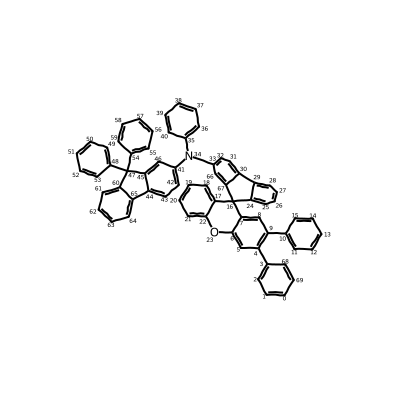 c1ccc(-c2cc3c(cc2-c2ccccc2)C2(c4ccccc4O3)c3ccccc3-c3ccc(N(c4ccccc4)c4ccc5c(c4)C(c4ccccc4)(c4ccccc4)c4ccccc4-5)cc32)cc1